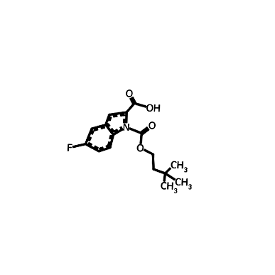 CC(C)(C)CCOC(=O)n1c(C(=O)O)cc2cc(F)ccc21